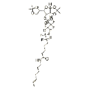 C/C=C/CCCCNC(=O)CCCCC(F)(F)C(F)(F)OC(F)(F)C(F)(F)S(=O)(=O)OC1[C@@H](C2COC(C)(C)O2)O[C@@H]2OC(C)(C)O[C@@H]12